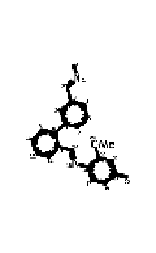 C/N=C/c1cccc(-c2ccccc2/C=N/c2ccc(C)cc2OC)c1